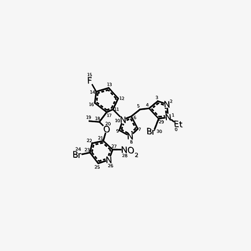 CCn1ncc(Cc2cncn2-c2ccc(F)cc2C(C)Oc2cc(Br)cnc2[N+](=O)[O-])c1Br